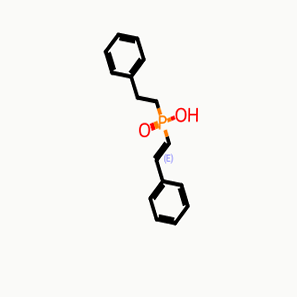 O=P(O)(/C=C/c1ccccc1)CCc1ccccc1